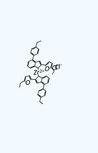 CCc1ccc(-c2cccc3c2C=C(c2ccc(CC)o2)[CH]3[Zr+2][CH]2C(c3ccc(CC)o3)=Cc3c(-c4ccc(CC)cc4)cccc32)cc1.[Cl-].[Cl-]